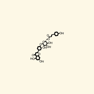 O=C(C=Cc1ccc(O)cc1)OC[C@H]1O[C@@H](Oc2ccc(-c3cc(=O)c4c(O)cc(O)cc4o3)cc2)[C@H](O)[C@@H](O)[C@@H]1O